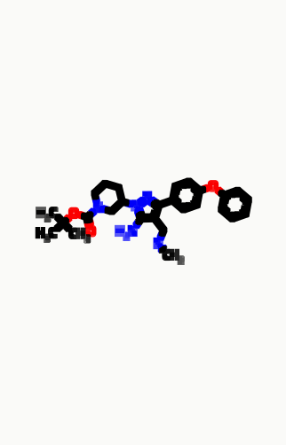 C=NCc1c(-c2ccc(Oc3ccccc3)cc2)nn(C2CCCN(C(=O)OC(C)(C)C)C2)c1N